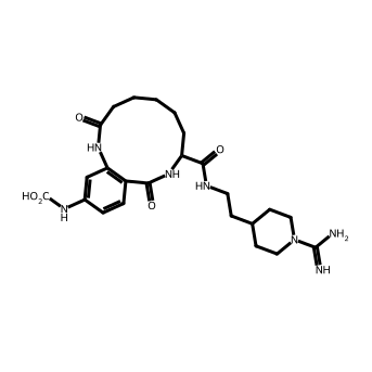 N=C(N)N1CCC(CCNC(=O)C2CCCCCC(=O)Nc3cc(NC(=O)O)ccc3C(=O)N2)CC1